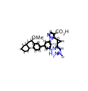 COC(CC1CCCCC1)c1cccc(-c2cccc(-n3ncc(C(=O)O)c3C3CC3/C(N)=C/N(C)N)c2)c1